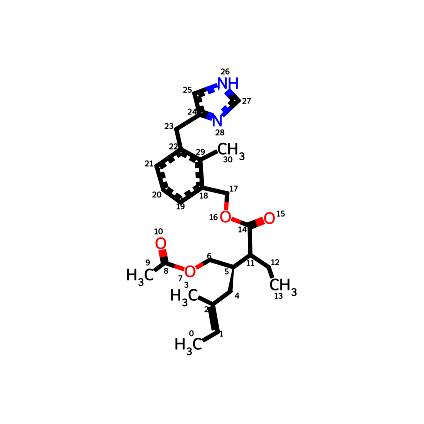 C/C=C(\C)C[C@@H](COC(C)=O)C(CC)C(=O)OCc1cccc(Cc2c[nH]cn2)c1C